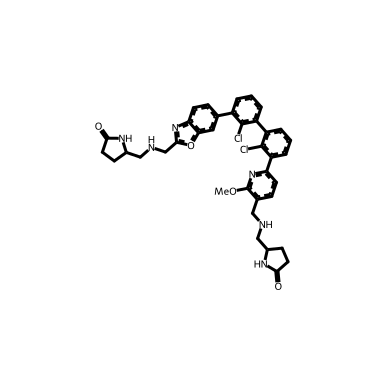 COc1nc(-c2cccc(-c3cccc(-c4ccc5nc(CNCC6CCC(=O)N6)oc5c4)c3Cl)c2Cl)ccc1CNCC1CCC(=O)N1